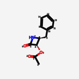 CC(=O)O[C@@H]1C(=O)N[C@@H]1Cc1ccccc1